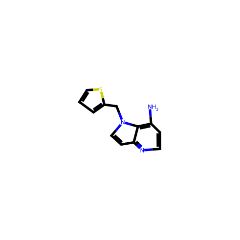 Nc1ccnc2ccn(Cc3cccs3)c12